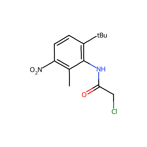 Cc1c([N+](=O)[O-])ccc(C(C)(C)C)c1NC(=O)CCl